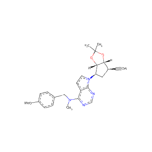 C#C[C@H]1C[C@@H](n2ccc3c(N(C)Cc4ccc(OC)cc4)ncnc32)[C@@H]2OC(C)(C)O[C@@H]21